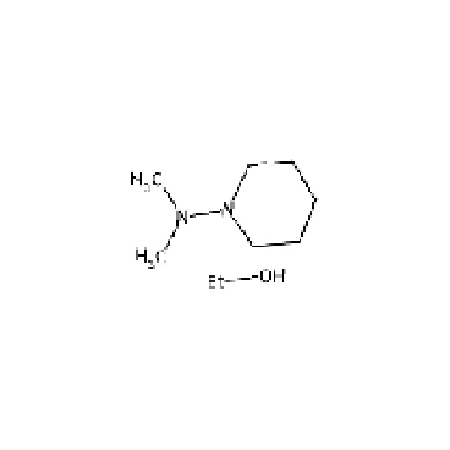 CCO.CN(C)N1CCCCC1